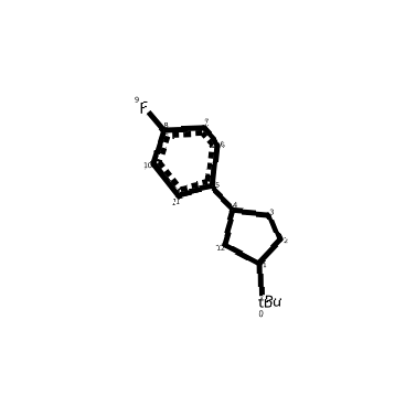 CC(C)(C)C1CCC(c2ccc(F)cc2)C1